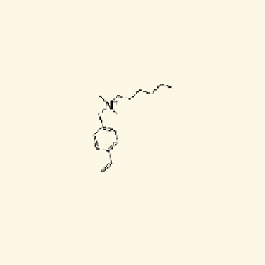 C=Cc1ccc(C[N+](C)(C)CCCCCC)cc1